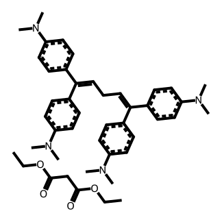 CCOC(=O)CC(=O)OCC.CN(C)c1ccc(C(=CCC=C(c2ccc(N(C)C)cc2)c2ccc(N(C)C)cc2)c2ccc(N(C)C)cc2)cc1